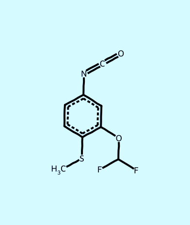 CSc1ccc(N=C=O)cc1OC(F)F